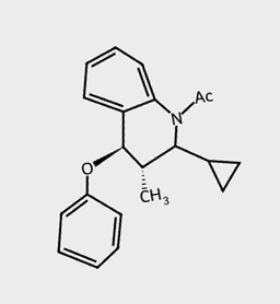 CC(=O)N1c2ccccc2[C@H](Oc2ccccc2)[C@@H](C)C1C1CC1